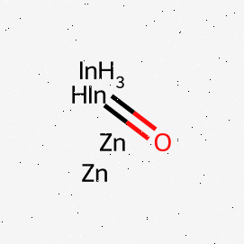 [InH3].[O]=[InH].[Zn].[Zn]